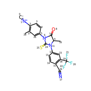 [C-]#[N+]c1ccc(N2C(=O)C(C)N(c3ccc(C#N)c(C(F)(F)F)c3)C2=S)cc1C